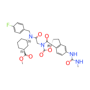 CNC(=O)Nc1ccc2c(c1)CC[C@@]21OC(=O)N(CC(=O)N(Cc2ccc(F)cc2)[C@H]2CCC[C@H](C(=O)OC)C2)C1=O